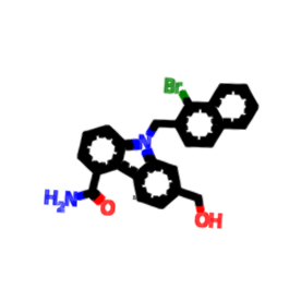 NC(=O)c1cccc2c1c1[c]cc(CO)cc1n2Cc1ccc2ccccc2c1Br